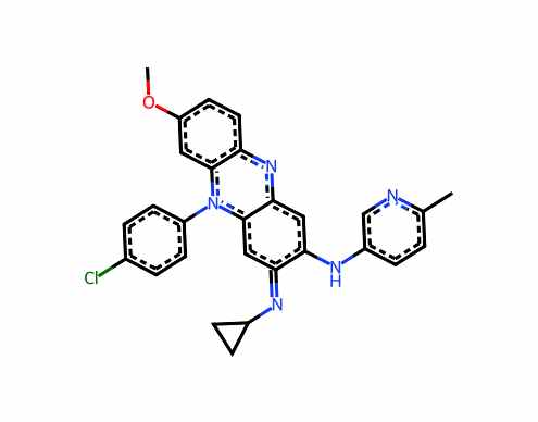 COc1ccc2nc3cc(Nc4ccc(C)nc4)/c(=N/C4CC4)cc-3n(-c3ccc(Cl)cc3)c2c1